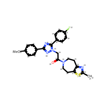 COc1ccc(-c2nc(-c3ccc(F)cc3)n(CC(=O)N3CCc4nc(C)sc4CC3)n2)cc1